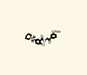 COc1cccc(C(=O)COC(=O)c2cc(S(=O)(=O)N3CCCCC3)ccc2Cl)c1